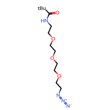 CC(C)(C)C(=O)NCCOCCOCCOCCN=[N+]=[N-]